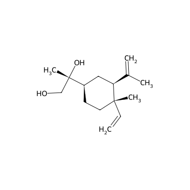 C=C[C@]1(C)CC[C@@H]([C@@](C)(O)CO)C[C@H]1C(=C)C